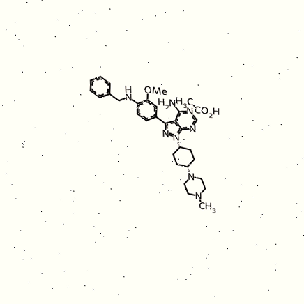 CC(=O)O.COc1cc(-c2nn([C@H]3CC[C@@H](N4CCN(C)CC4)CC3)c3ncnc(N)c23)ccc1NCc1ccccc1